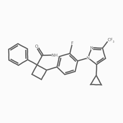 NC(=O)C1(c2ccccc2)CCC1c1ccc(-n2nc(C(F)(F)F)cc2C2CC2)c(F)c1